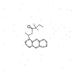 CCC(C)(C)C(=O)CC(C)c1cccc2cc3ccccc3cc12